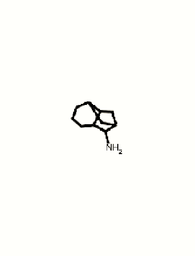 NC1C2CC3CCCC1C3C2